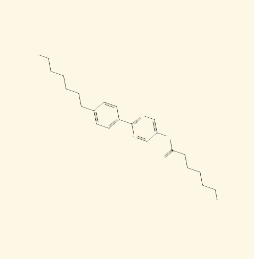 CCCCCCCc1ccc(-c2ncc(OC(=O)CCCCCC)cn2)cc1